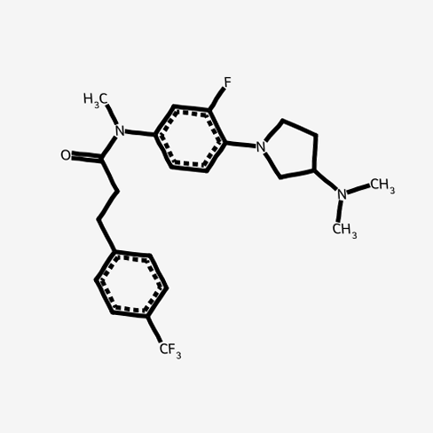 CN(C(=O)CCc1ccc(C(F)(F)F)cc1)c1ccc(N2CCC(N(C)C)C2)c(F)c1